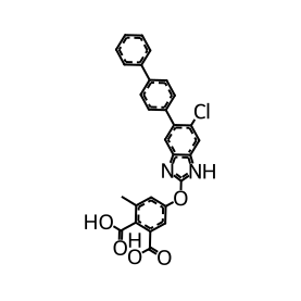 Cc1cc(Oc2nc3cc(-c4ccc(-c5ccccc5)cc4)c(Cl)cc3[nH]2)cc(C(=O)O)c1C(=O)O